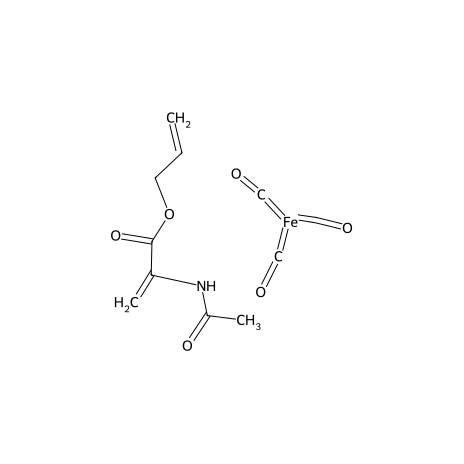 C=CCOC(=O)C(=C)NC(C)=O.O=[C]=[Fe](=[C]=O)=[C]=O